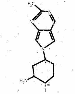 NC1CC(n2cc3cnc(C(F)(F)F)nc3c2)CC[C@@H]1I